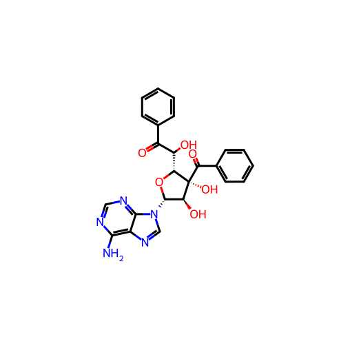 Nc1ncnc2c1ncn2[C@@H]1O[C@H](C(O)C(=O)c2ccccc2)[C@@](O)(C(=O)c2ccccc2)[C@H]1O